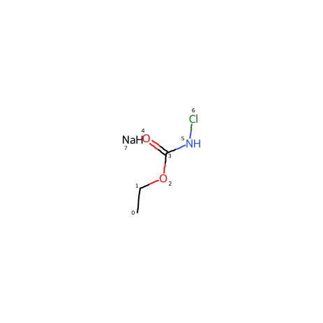 CCOC(=O)NCl.[NaH]